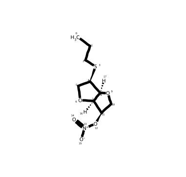 CCCS[C@@H]1CO[C@H]2[C@@H]1OC[C@H]2O[N+](=O)[O-]